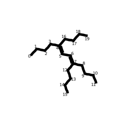 CCCCC(=CC=C(CCCC)CCCC)CCCC